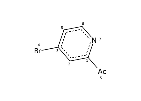 CC(=O)c1cc(Br)ccn1